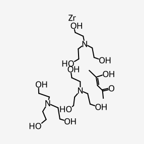 CC(=O)/C=C(/C)O.OCCN(CCO)CCO.OCCN(CCO)CCO.OCCN(CCO)CCO.[Zr]